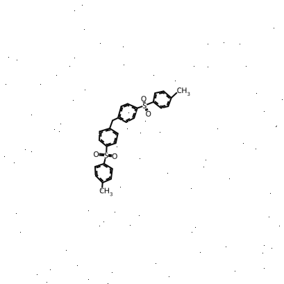 Cc1ccc(S(=O)(=O)c2ccc(Cc3ccc(S(=O)(=O)c4ccc(C)cc4)cc3)cc2)cc1